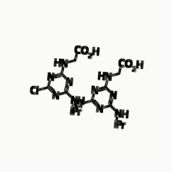 CC(C)Nc1nc(Cl)nc(NCC(=O)O)n1.CC(C)Nc1nc(Cl)nc(NCC(=O)O)n1